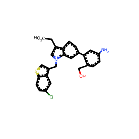 Nc1ccc(CO)c(-c2ccc3c(CC(=O)O)cn(Cc4csc5ccc(Cl)cc45)c3c2)c1